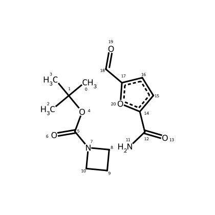 CC(C)(C)OC(=O)N1CCC1.NC(=O)c1ccc(C=O)o1